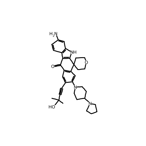 CC(C)(O)C#Cc1cc2c(cc1N1CCC(N3CCCC3)CC1)C1(CCOCC1)c1[nH]c3cc(N)ccc3c1C2=O